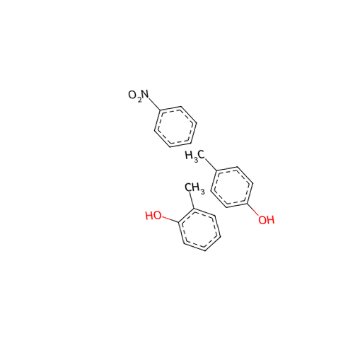 Cc1ccc(O)cc1.Cc1ccccc1O.O=[N+]([O-])c1ccccc1